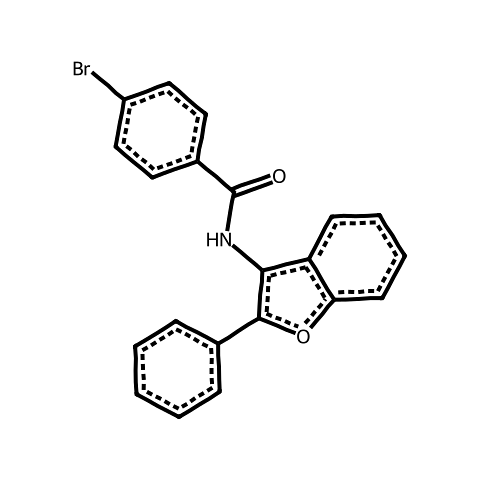 O=C(Nc1c(-c2ccccc2)oc2ccccc12)c1ccc(Br)cc1